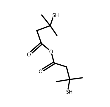 CC(C)(S)CC(=O)OC(=O)CC(C)(C)S